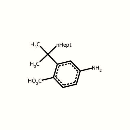 CCCCCCCC(C)(C)c1cc(N)ccc1C(=O)O